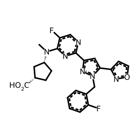 CN(c1nc(-c2cc(-c3ccon3)n(Cc3ccccc3F)n2)ncc1F)[C@@H]1CC[C@H](C(=O)O)C1